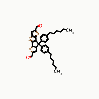 CCCCCCc1ccc(C2(c3ccc(CCCCCC)cc3)c3c(sc4cc(C=O)sc34)C3SC(C=O)=CC32)cc1